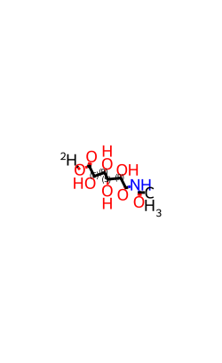 [2H]OC(=O)[C@@H](O)[C@H](O)[C@H](O)[C@@H](O)C(=O)NC(C)=O